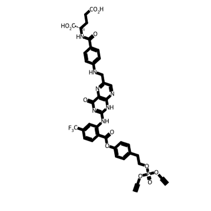 C#COP(=O)(OC#C)OCCc1ccc(OC(=O)c2ccc(C(F)(F)F)cc2Nc2nc(=O)c3nc(CNc4ccc(C(=O)N[C@@H](CCC(=O)O)C(=O)O)cc4)cnc3[nH]2)cc1